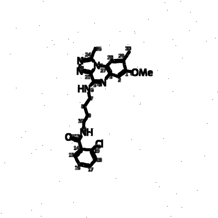 COc1cc2nc(NCCCCNC(=O)c3ccccc3Cl)c3nnc(C)n3c2cc1C